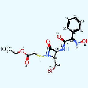 O=C(O)COC(=O)CSN1C(=O)[C@@H](NC(=O)/C(=N/O)c2ccccc2)[C@H]1CBr